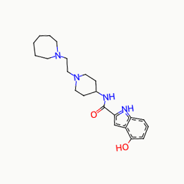 O=C(NC1CCN(CCN2CCCCCC2)CC1)c1cc2c(O)cccc2[nH]1